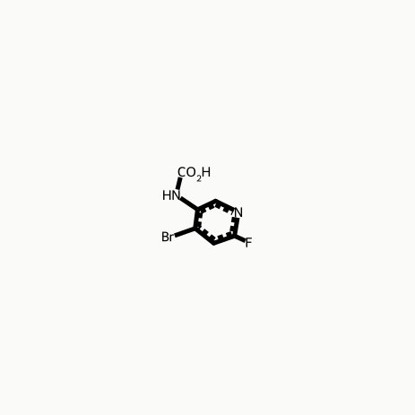 O=C(O)Nc1cnc(F)cc1Br